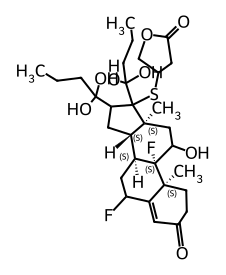 CCCC(O)(O)C1C[C@H]2[C@@H]3CC(F)C4=CC(=O)CC[C@]4(C)[C@]3(F)C(O)C[C@]2(C)C1(SC1COC(=O)C1)C(O)(O)CCC